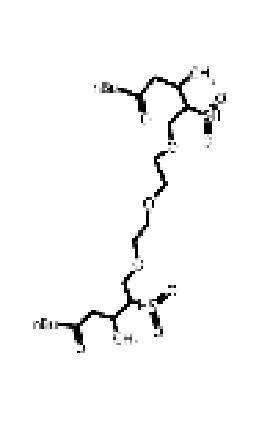 CCCCC(=O)CC(C)C(COCCOCCOCC(C(C)CC(=O)CCCC)[SH](=O)=O)[SH](=O)=O